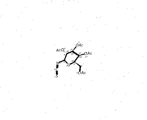 CC(=O)OC[C@H]1OC(N=C=S)[C@H](OC(C)=O)[C@@H](OC(C)=O)[C@H]1OC(C)=O